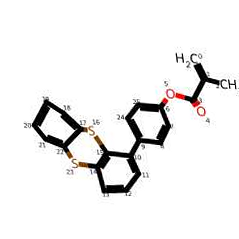 C=C(C)C(=O)Oc1ccc(-c2cccc3c2Sc2ccccc2S3)cc1